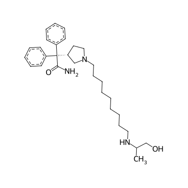 CC(CO)NCCCCCCCCCN1CC[C@@H](C(C(N)=O)(c2ccccc2)c2ccccc2)C1